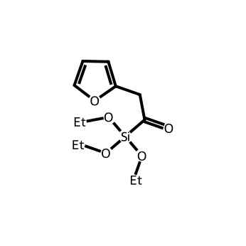 CCO[Si](OCC)(OCC)C(=O)Cc1ccco1